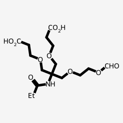 CCC(=O)NC(COCCOC=O)(COCCC(=O)O)COCCC(=O)O